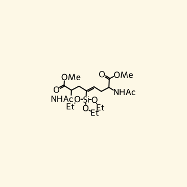 CCO[Si](OCC)(OCC)/C(=C\CC(NC(C)=O)C(=O)OC)CC(NC(C)=O)C(=O)OC